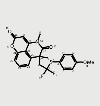 COc1ccc(SC(F)(F)CC2(C)C(=O)N(C)c3cc(=O)oc4cccc2c34)cc1